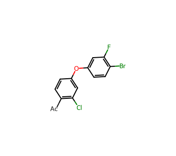 CC(=O)c1ccc(Oc2ccc(Br)c(F)c2)cc1Cl